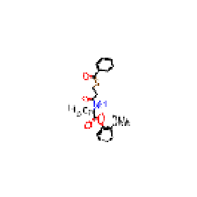 COc1ccccc1OC(=O)[C@H](C)NC(=O)CCSC(=O)c1ccccc1